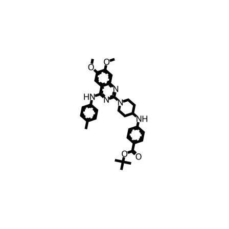 COc1cc2nc(N3CCC(Nc4ccc(C(=O)OC(C)(C)C)cc4)CC3)nc(Nc3ccc(C)cc3)c2cc1OC